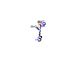 COC[C@@H](F)CN(CCCCc1ccc2c(n1)NCCC2)CC[C@H](Nc1ccnc(OC)n1)C(=O)OC(C)(C)C